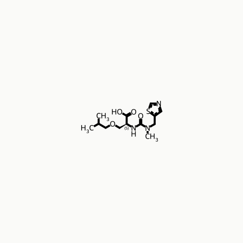 CC(C)COC[C@H](NC(=O)N(C)Cc1cncs1)C(=O)O